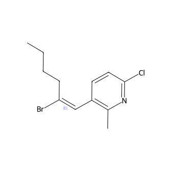 CCCC/C(Br)=C\c1ccc(Cl)nc1C